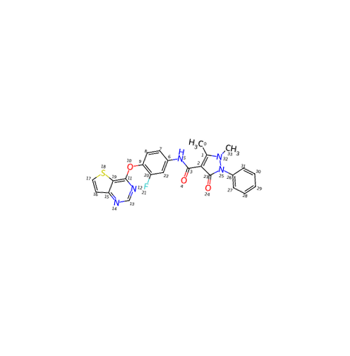 Cc1c(C(=O)Nc2ccc(Oc3ncnc4ccsc34)c(F)c2)c(=O)n(-c2ccccc2)n1C